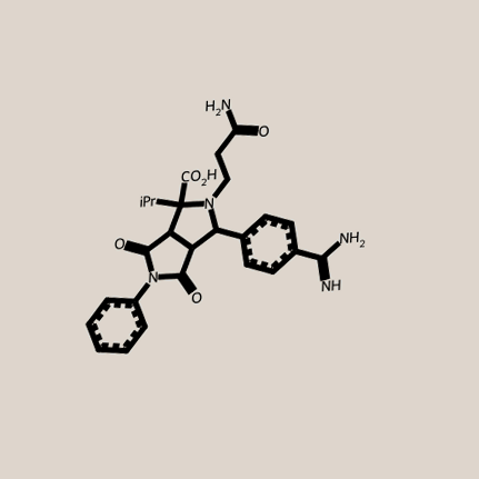 CC(C)C1(C(=O)O)C2C(=O)N(c3ccccc3)C(=O)C2C(c2ccc(C(=N)N)cc2)N1CCC(N)=O